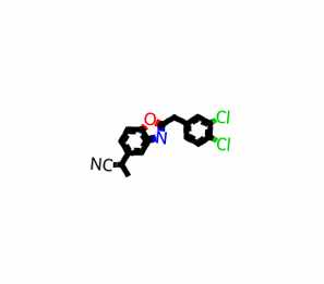 CC(C#N)c1ccc2oc(Cc3ccc(Cl)c(Cl)c3)nc2c1